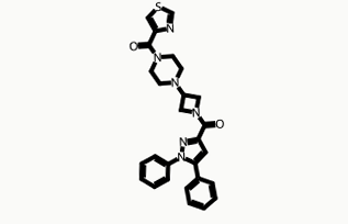 O=C(c1cscn1)N1CCN(C2CN(C(=O)c3cc(-c4ccccc4)n(-c4ccccc4)n3)C2)CC1